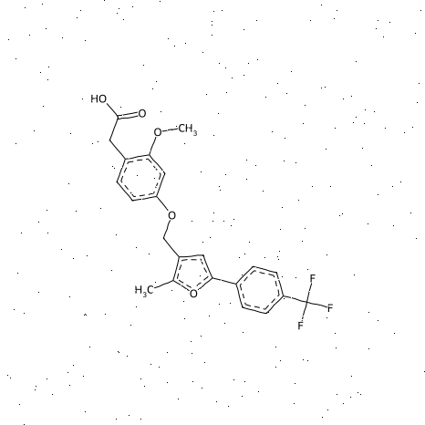 COc1cc(OCc2cc(-c3ccc(C(F)(F)F)cc3)oc2C)ccc1CC(=O)O